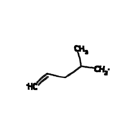 [CH]=CCC([CH2])C